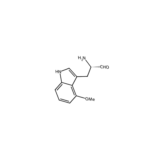 COc1cccc2[nH]cc(C[C@H](N)C=O)c12